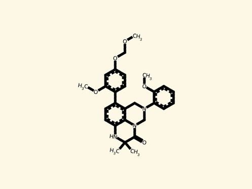 COCOc1ccc(-c2ccc3c4c2CN(c2ccccc2OC)CN4C(=O)C(C)(C)N3)c(OC)c1